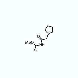 CCC(NC(=O)CN1CCCC1)OC